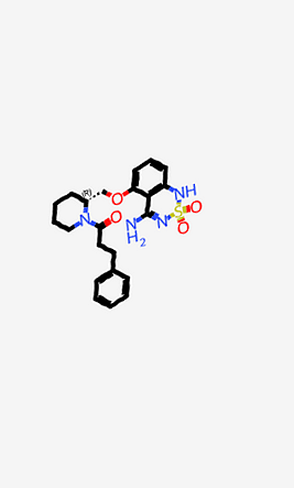 NC1=NS(=O)(=O)Nc2cccc(OC[C@H]3CCCCN3C(=O)CCc3ccccc3)c21